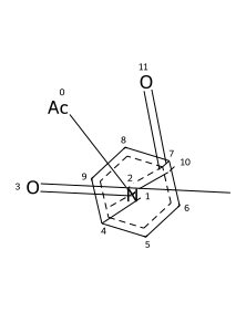 CC(=O)n1c(=O)c2ccc(cc2)c1=O